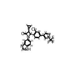 O=C1C(C2CC2)[C@@H](c2ccc(-c3cnn(C(F)(F)F)c3)cc2Cl)N1c1ccc2[nH]cnc2c1